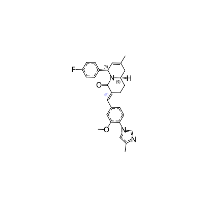 COc1cc(/C=C2\CC[C@H]3CC(C)=C[C@H](c4ccc(F)cc4)N3C2=O)ccc1-n1cnc(C)c1